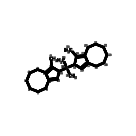 CC1=C2CCCCCCC2=CC1[Si](C)(C)C1C=C2CCCCCCC2=C1C